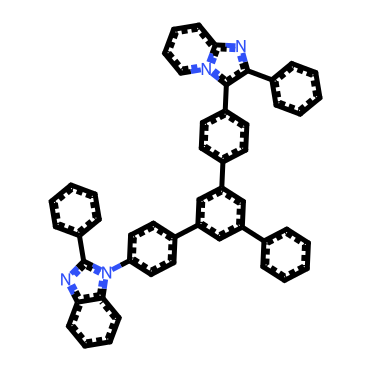 c1ccc(-c2cc(-c3ccc(-c4c(-c5ccccc5)nc5ccccn45)cc3)cc(-c3ccc(-n4c(-c5ccccc5)nc5ccccc54)cc3)c2)cc1